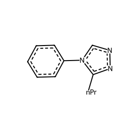 CCCc1nncn1-c1ccccc1